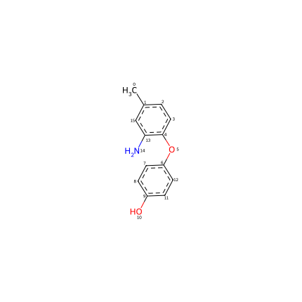 Cc1ccc(Oc2ccc(O)cc2)c(N)c1